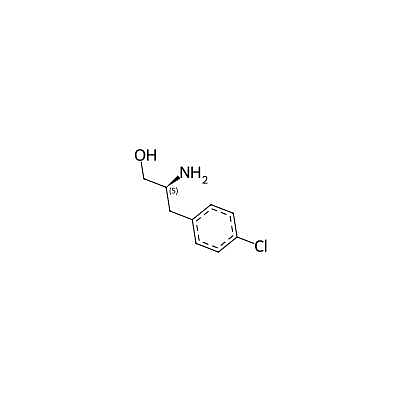 N[C@H](CO)Cc1ccc(Cl)cc1